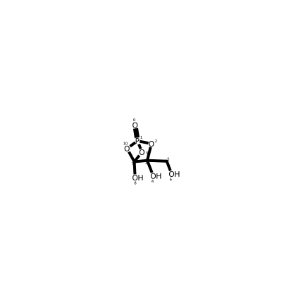 O=P12OC(O)(CO)C(O)(O1)O2